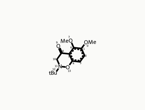 COc1ccc2c(c1OC)C(=O)CN(C(C)(C)C)O2